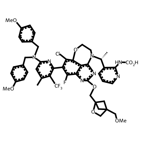 COCC12COC(COc3nc4c5c(c(Cl)c(-c6nc(N(Cc7ccc(OC)cc7)Cc7ccc(OC)cc7)cc(C)c6C(F)(F)F)c(F)c5n3)OCCN4[C@H](C)c3cccnc3NC(=O)O)(C1)C2